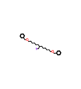 ICC(CCCCCCOCc1ccccc1)CCCCCCOCc1ccccc1